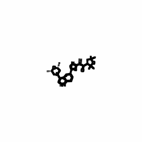 C[C@@H]1CN(c2cnnc3ccc(-c4cnc(NC(=O)C5CC(C)(C)OC5(C)C)s4)cc23)C[C@H](C)O1